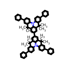 CC1(C)c2cc(-c3ccccc3)ccc2N2c3ccc(-c4ccccc4)cc3C(C)(C)c3cc(-c4cc5c6c(c4)C(C)(C)c4cc(-c7ccccc7)ccc4N6c4ccc(-c6ccccc6)cc4C5(C)C)cc1c32